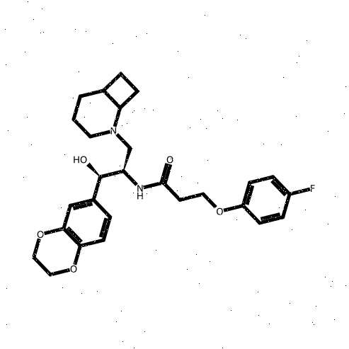 O=C(CCOc1ccc(F)cc1)N[C@H](CN1CCCC2CCC21)[C@H](O)c1ccc2c(c1)OCCO2